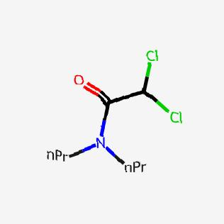 CCCN(CCC)C(=O)C(Cl)Cl